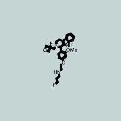 COc1cc(OCCNCCCF)ccc1C1c2[nH]c3ccccc3c2CCN1CC1(F)COC1